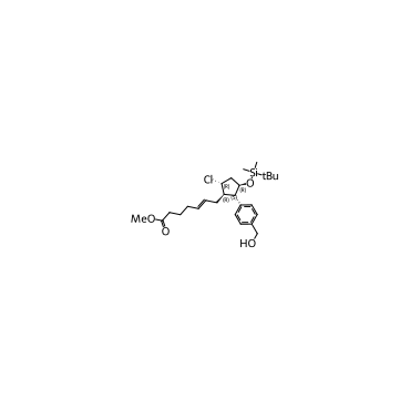 COC(=O)CCCC=CC[C@@H]1[C@@H](c2ccc(CO)cc2)[C@H](O[Si](C)(C)C(C)(C)C)C[C@H]1Cl